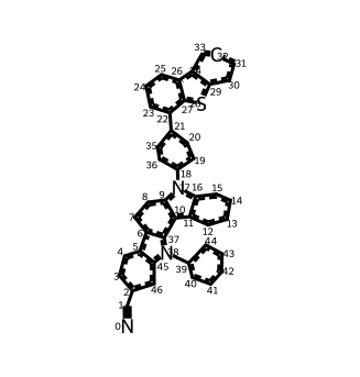 N#Cc1ccc2c3ccc4c(c5ccccc5n4-c4ccc(-c5cccc6c5sc5ccccc56)cc4)c3n(-c3ccccc3)c2c1